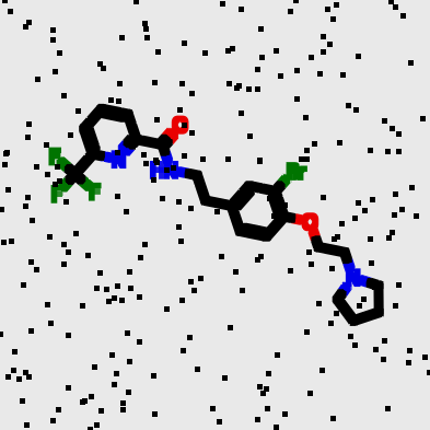 O=C(NCCc1ccc(OCCN2CCCC2)c(Br)c1)c1cccc(C(F)(F)F)n1